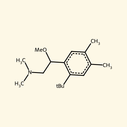 COC(CN(C)C)c1cc(C)c(C)cc1C(C)(C)C